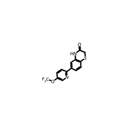 O=C1CSc2ccc(-c3ccc(OC(F)(F)F)cn3)cc2N1